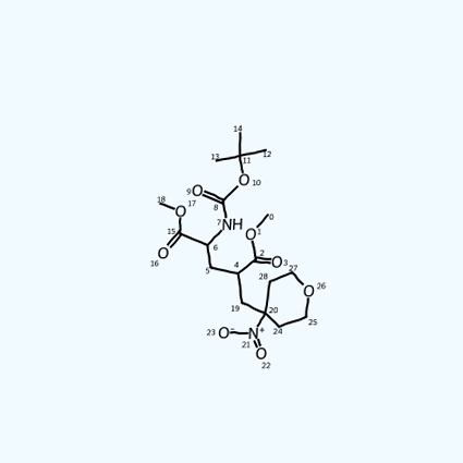 COC(=O)C(CC(NC(=O)OC(C)(C)C)C(=O)OC)CC1([N+](=O)[O-])CCOCC1